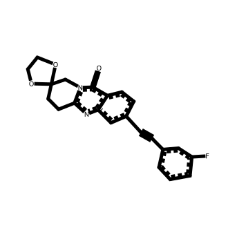 O=c1c2ccc(C#Cc3cccc(F)c3)cc2nc2n1CC1(CC2)OCCO1